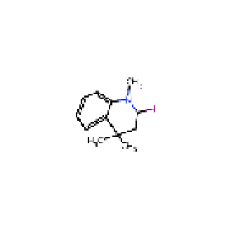 CN1c2ccccc2C(C)(C)CC1I